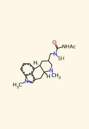 CC(=O)NC(=O)N(S)CC1C[C@@H]2c3cccc4c3c(cn4C)C[C@H]2N(C)C1